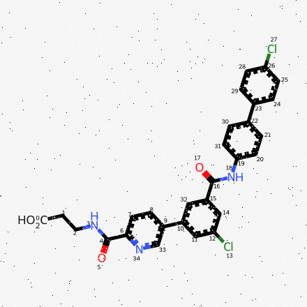 O=C(O)CCNC(=O)c1ccc(-c2cc(Cl)cc(C(=O)Nc3ccc(-c4ccc(Cl)cc4)cc3)c2)cn1